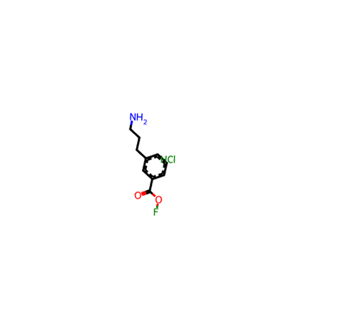 Cl.NCCCc1cccc(C(=O)OF)c1